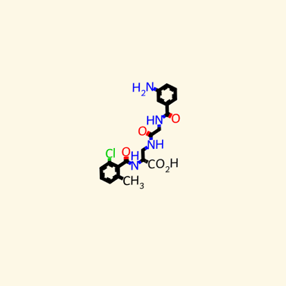 Cc1cccc(Cl)c1C(=O)NC(CNC(=O)CNC(=O)c1cccc(N)c1)C(=O)O